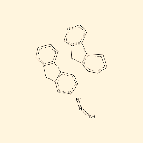 [N-]=[N+]=N.c1ccc2c(c1)Cc1ccccc1-2.c1ccc2c(c1)Cc1ccccc1-2